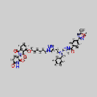 C[C@H](CN(CCc1cn(CCCCCCOc2cccc3c2C(=O)N(C2CCC(=O)NC2=O)C3=O)nn1)Cc1ccccc1)NC(=O)c1ccc(-c2noc(C(F)(F)F)n2)cc1